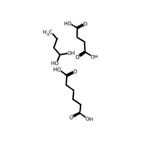 CCCC(O)O.O=C(O)CCC(=O)O.O=C(O)CCCCC(=O)O